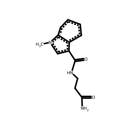 Cn1cc(C(=O)NCCC(N)=O)c2ccccc21